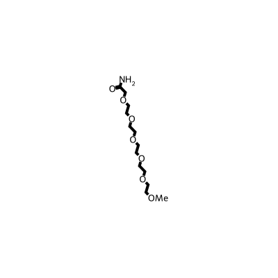 COCCOCCOCCOCCOCCOCC(N)=O